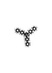 c1ccc(-c2ccc(-c3cc(-c4ccc(-c5ccccc5)cc4)nc(-c4ccc(-c5ccccc5)cc4)n3)cc2)cc1